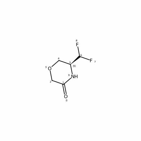 O=C1COC[C@@H](C(F)F)N1